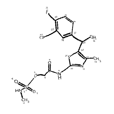 CNS(=O)(=O)OCC(=O)Nc1nc(C)c(C(O)c2ccc(F)c(Cl)c2)s1